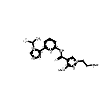 COCCn1cc(C(=O)Nc2cccc(-c3nncn3C(C)C(F)(F)F)n2)c(OC)n1